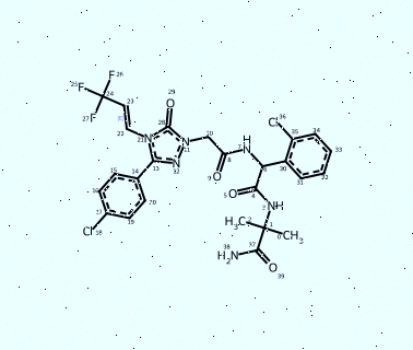 CC(C)(NC(=O)C(NC(=O)Cn1nc(-c2ccc(Cl)cc2)n(/C=C/C(F)(F)F)c1=O)c1ccccc1Cl)C(N)=O